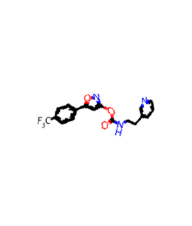 O=C(NCCc1cccnc1)Oc1cc(-c2ccc(C(F)(F)F)cc2)on1